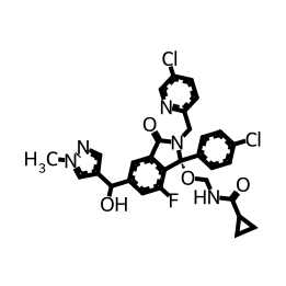 Cn1cc(C(O)c2cc(F)c3c(c2)C(=O)N(Cc2ccc(Cl)cn2)[C@@]3(OCNC(=O)C2CC2)c2ccc(Cl)cc2)cn1